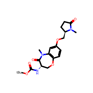 CN1C(=O)[C@@H](NC(=O)OC(C)(C)C)COc2ccc(OC[C@H]3CCC(=O)N3C)cc21